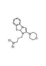 CCN(CC)CCCN1C(N2CCOCC2)=CN2c3ccccc3SC12